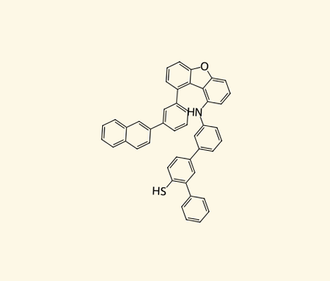 Sc1ccc(-c2cccc(Nc3cccc4oc5cccc(-c6cccc(-c7ccc8ccccc8c7)c6)c5c34)c2)cc1-c1ccccc1